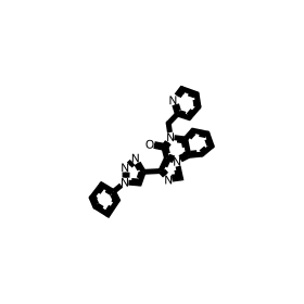 O=c1c2c(-c3cn(-c4ccccc4)nn3)ncn2c2ccccc2n1Cc1ccccn1